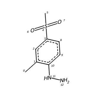 Cc1cc(S(C)(=O)=O)ccc1NN